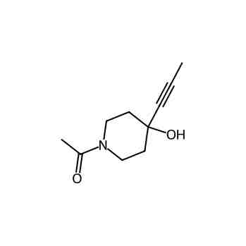 CC#CC1(O)CCN(C(C)=O)CC1